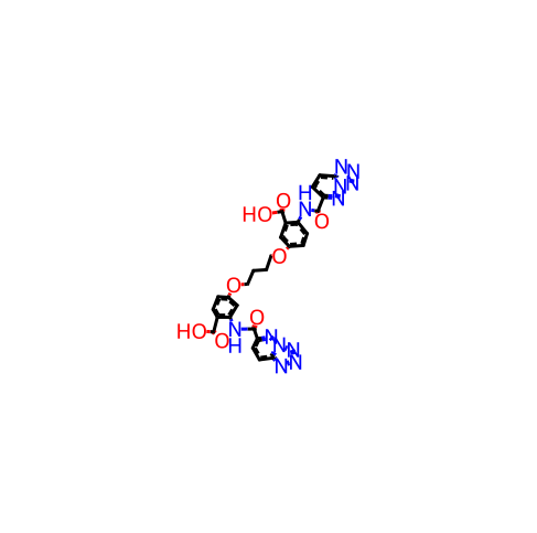 O=C(Nc1cc(OCCCCOc2ccc(NC(=O)c3ccc4nnnn4n3)c(C(=O)O)c2)ccc1C(=O)O)c1ccc2nnnn2n1